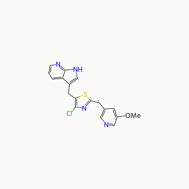 COc1cncc([CH]c2nc(Cl)c(Cc3c[nH]c4ncccc34)s2)c1